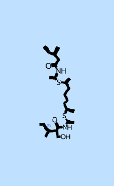 C=CC(=C)CC(=O)NC(=C)SC(=C)CCCCC(=C)SC(=C)NC(=O)C(CO)/C(C)=C/C